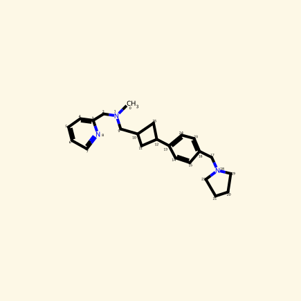 CN(Cc1ccccn1)CC1CC(c2ccc(CN3CCCC3)cc2)C1